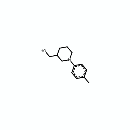 Cc1ccc(N2CCCC(CO)C2)cc1